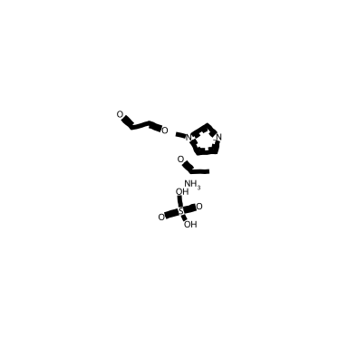 CC=O.Cn1ccnc1.N.O=CC=O.O=S(=O)(O)O